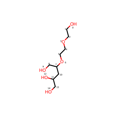 OCCOCCOC(CO)CC(O)CO